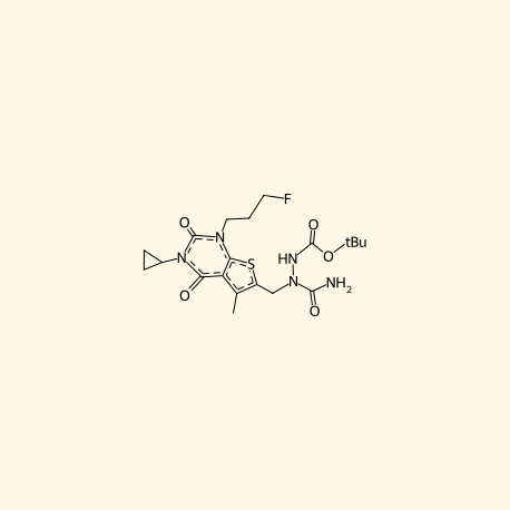 Cc1c(CN(NC(=O)OC(C)(C)C)C(N)=O)sc2c1c(=O)n(C1CC1)c(=O)n2CCCF